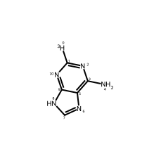 [3H]c1nc(N)c2nc[nH]c2n1